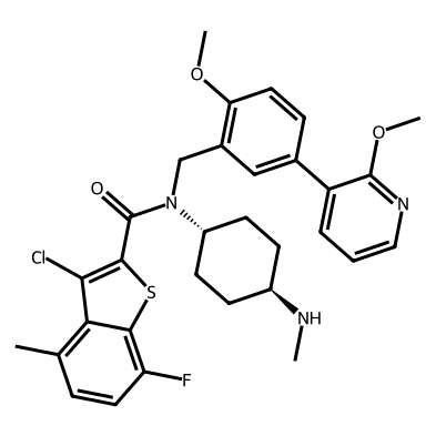 CN[C@H]1CC[C@H](N(Cc2cc(-c3cccnc3OC)ccc2OC)C(=O)c2sc3c(F)ccc(C)c3c2Cl)CC1